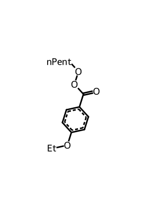 [CH2]CCCCOOC(=O)c1ccc(OCC)cc1